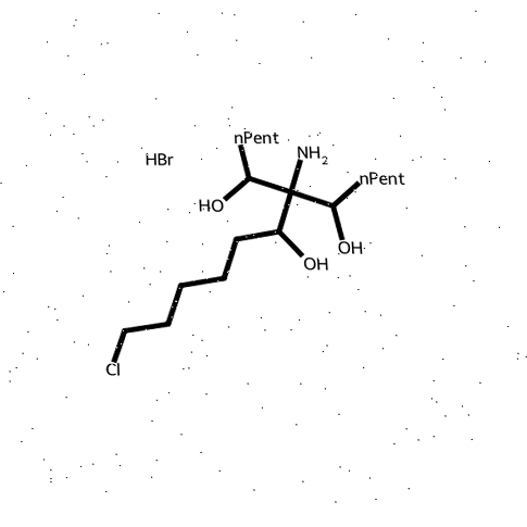 Br.CCCCCC(O)C(N)(C(O)CCCCC)C(O)CCCCCCl